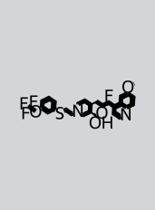 COc1ccc2nccc([C@H](F)CC[C@@H]3CCN(CCSc4cccc(OC(F)(F)F)c4)C[C@@H]3C(=O)O)c2c1